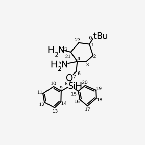 CC(C)(C)C1CCC(N)(CO[SiH](c2ccccc2)c2ccccc2)C(N)C1